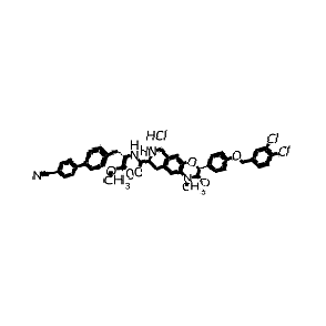 COC(=O)[C@H](Cc1ccc(-c2ccc(C#N)cc2)cc1)NC(=O)C1Cc2cc3c(cc2CN1)O[C@@H](c1ccc(OCc2ccc(Cl)c(Cl)c2)cc1)C(=O)N3C.Cl